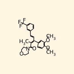 COc1ccc(C(C=Cc2cccc(C(F)(F)F)c2)=C(C)C(=O)N2CCOCC2)cc1OC